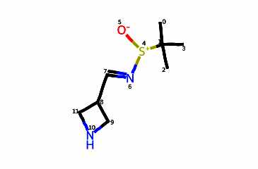 CC(C)(C)[S+]([O-])/N=C/C1CNC1